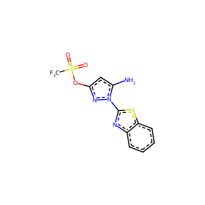 Nc1cc(OS(=O)(=O)C(F)(F)F)nn1-c1nc2ccccc2s1